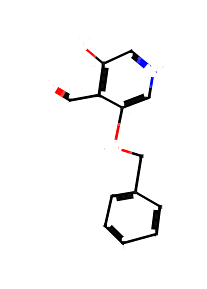 O=Cc1c(O)cncc1OCc1ccccc1